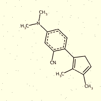 CC1=CCC(c2ccc(N(C)C)cc2C#N)=C1C